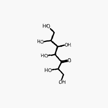 O=C(C(O)CO)C(O)C(O)C(O)CO